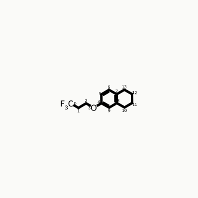 FC(F)(F)CCOc1ccc2c(c1)CCCC2